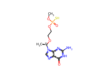 COP(=O)(S)OCCO[C@H](C)n1cnc2c(=O)[nH]c(N)nc21